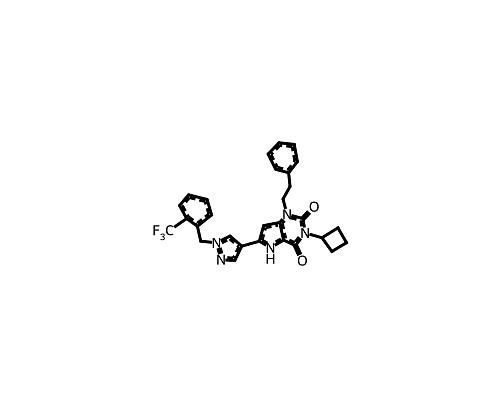 O=c1c2[nH]c(-c3cnn(Cc4ccccc4C(F)(F)F)c3)cc2n(CCc2ccccc2)c(=O)n1C1CCC1